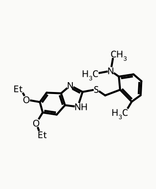 CCOc1cc2nc(SCc3c(C)cccc3N(C)C)[nH]c2cc1OCC